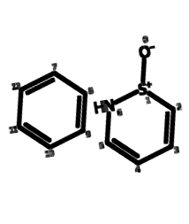 [O-][S+]1C=CC=CN1.c1ccccc1